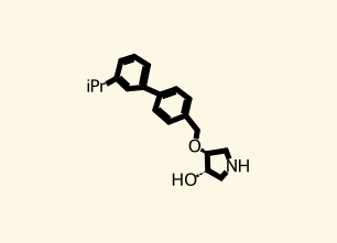 CC(C)c1cccc(-c2ccc(CO[C@H]3CNC[C@@H]3O)cc2)c1